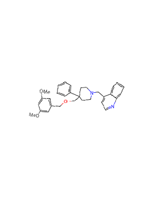 COc1cc(COCC2(c3ccccc3)CCN(Cc3ccnc4ccccc34)CC2)cc(OC)c1